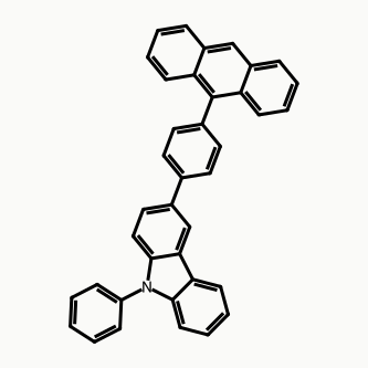 c1ccc(-n2c3ccccc3c3cc(-c4ccc(-c5c6ccccc6cc6ccccc56)cc4)ccc32)cc1